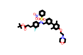 Cc1cc(OCCN2CCOCC2)cc(C)c1-c1cccc(CN(c2ccc(CCC(=O)OC(C)(C)C)c(F)c2)S(=O)(=O)c2ccccc2[N+](=O)[O-])c1